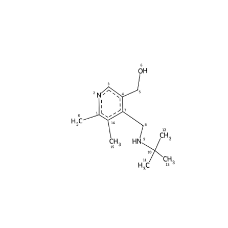 Cc1ncc(CO)c(CNC(C)(C)C)c1C